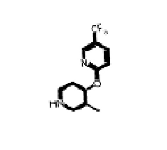 C[C@H]1CNCC[C@H]1Oc1ccc(C(F)(F)F)cn1